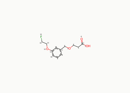 O=C(O)CCOCc1cccc(OCCF)c1